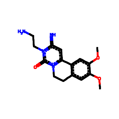 COc1cc2c(cc1OC)-c1cc(=N)n(CCN)c(=O)n1CC2